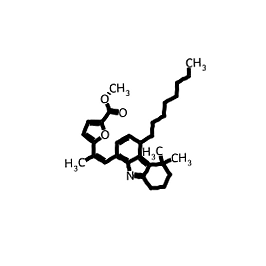 CCCCCCCCC1C=CC(C=C(C)c2ccc(C(=O)OC)o2)=C2N=C3CCCC(C)(C)C3=C21